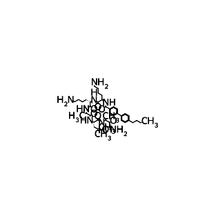 CCCCc1ccc(-c2ccc(C(=O)NC(CCCCN)C(=O)N[C@@H](CCCCN)C(=O)N[C@@H](C)C(=O)N[C@@H](CC(C)C)C(=O)N[C@@H](C)C(=O)C(N)=O)cc2)cc1